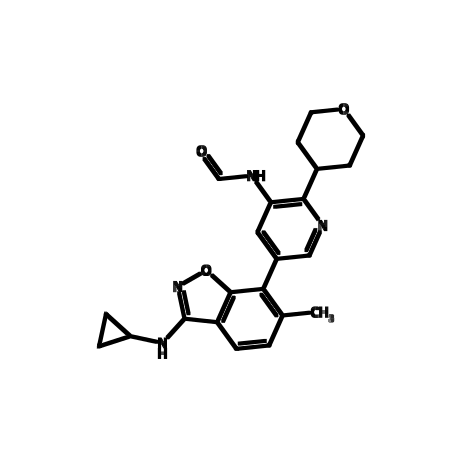 Cc1ccc2c(NC3CC3)noc2c1-c1cnc(C2CCOCC2)c(NC=O)c1